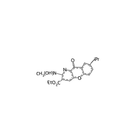 CCOC(=O)c1cc2oc3ccc(C(C)C)cc3c(=O)c2nc1N(C)O